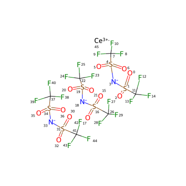 O=S(=O)([N-]S(=O)(=O)C(F)(F)F)C(F)(F)F.O=S(=O)([N-]S(=O)(=O)C(F)(F)F)C(F)(F)F.O=S(=O)([N-]S(=O)(=O)C(F)(F)F)C(F)(F)F.[Ce+3]